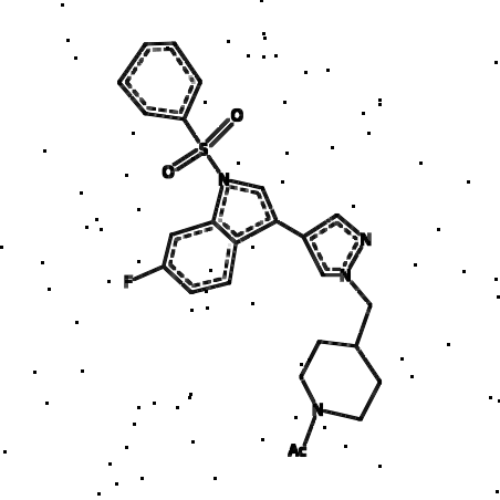 CC(=O)N1CCC(Cn2cc(-c3cn(S(=O)(=O)c4ccccc4)c4cc(F)ccc34)cn2)CC1